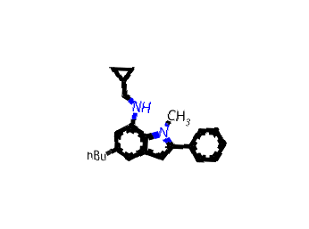 CCCCc1cc(NCC2CC2)c2c(c1)cc(-c1ccccc1)n2C